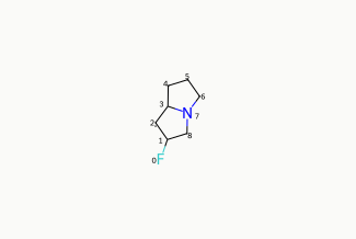 FC1[CH]C2CCCN2C1